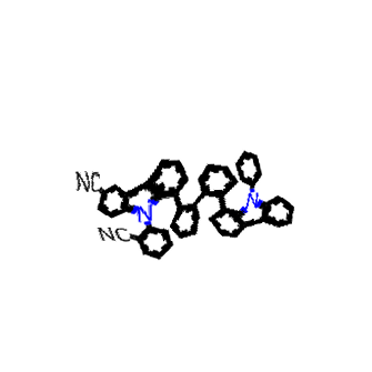 N#Cc1ccc2c(c1)c1cccc(-c3ccccc3-c3ccccc3-c3cccc4c5ccccc5n(-c5ccccc5)c34)c1n2-c1ccccc1C#N